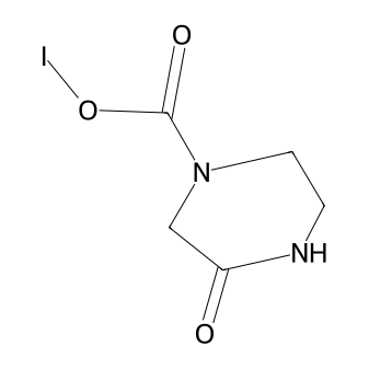 O=C1CN(C(=O)OI)CCN1